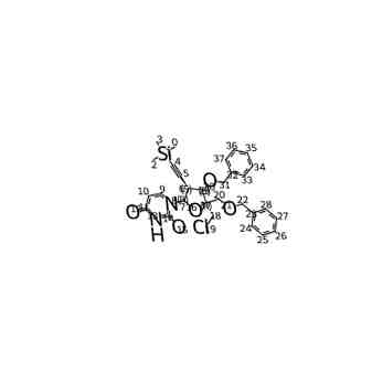 C[Si](C)(C)C#C[C@@H]1[C@H](n2ccc(=O)[nH]c2=O)O[C@](CCl)(COCc2ccccc2)[C@H]1OCc1ccccc1